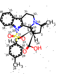 C=C1C[C@H]2[C@H](C(=O)O)[C@@H](C)C[C@]23c2c(c4ccccc4n2S(=O)(=O)c2ccc(C)cc2)CCN13